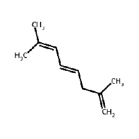 C=C(C)CC=CC=C(C)C